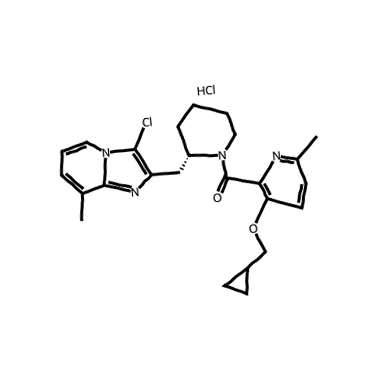 Cc1ccc(OCC2CC2)c(C(=O)N2CCCC[C@H]2Cc2nc3c(C)cccn3c2Cl)n1.Cl